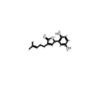 CC(C)=CCCC1=CC(c2cc(O)ccc2O)OC1=O